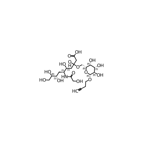 C#CCCO[C@@H]1O[C@H](COC(O)(CC(=O)O)C[C@H](O)[C@H](C[C@H](O)[C@H](O)CO)NC(=O)CO)[C@H](O)[C@H](O)[C@H]1O